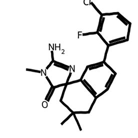 CN1C(=O)C2(CC(C)(C)Cc3ccc(-c4cccc(Cl)c4F)cc32)N=C1N